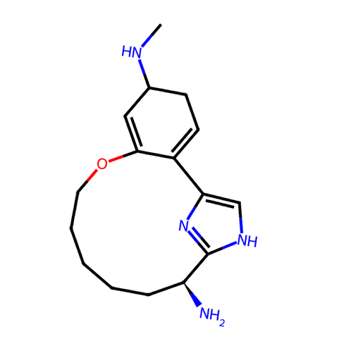 CNC1C=C2OCCCCC[C@H](N)c3nc(c[nH]3)C2=CC1